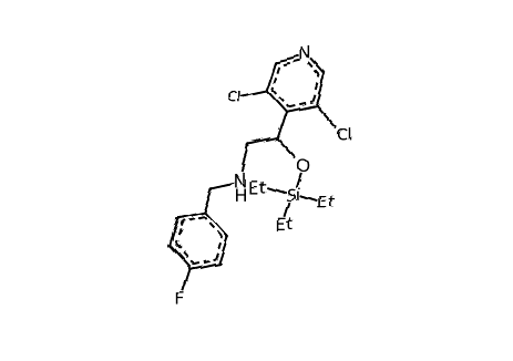 CC[Si](CC)(CC)OC(CNCc1ccc(F)cc1)c1c(Cl)cncc1Cl